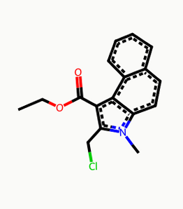 CCOC(=O)c1c(CCl)n(C)c2ccc3ccccc3c12